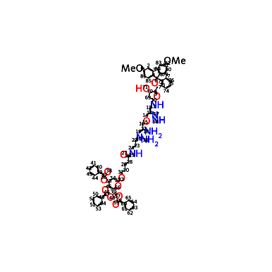 COc1ccc(C(OC[C@H]2O[C@H](N/C=C(/COC/C(N)=C/N(N)CCCNC(=O)CCCCO[C@H]3C[C@@H](OC(=O)c4ccccc4)[C@@H](OC(=O)c4ccccc4)[C@@H](COC(=O)c4ccccc4)O3)N=N)CC2O)(c2ccccc2)c2ccc(OC)cc2)cc1